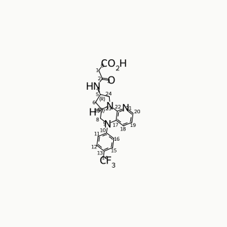 O=C(O)CC(=O)N[C@@H]1C[C@@H]2CN(c3ccc(C(F)(F)F)cc3)c3cccnc3N2C1